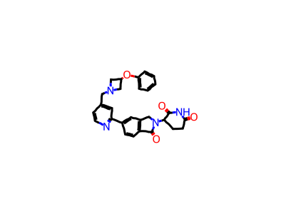 O=C1CCC(N2Cc3cc(-c4cc(CN5CC(Oc6ccccc6)C5)ccn4)ccc3C2=O)C(=O)N1